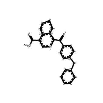 COC(=O)c1cnc(C(=O)c2ccc(Cc3ccccc3)cc2)c2ccccc12